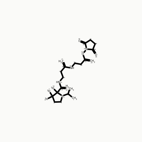 [2H]C1([2H])CCN(C(C)C)C1([2H])C(=C)NCCC(=C)NCCC(=C)ON1C(=O)CCC1=O